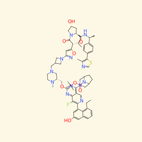 CCc1cccc2cc(O)cc(-c3ncc4c(N5CC6CCC(C5)N6C(=O)OC(C)(C)C)nc(OC[C@H]5CN(CC6CN(c7cc([C@H](C(=O)N8C[C@H](O)C[C@H]8C(=O)N[C@@H](C)c8ccc(-c9scnc9C)cc8)C(C)C)on7)C6)CCN5C)nc4c3F)c12